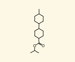 CC1CCC(C2CCC(C(=O)OC(C)C)CC2)CC1